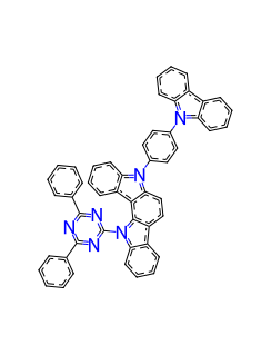 c1ccc(-c2nc(-c3ccccc3)nc(-n3c4ccccc4c4ccc5c(c6ccccc6n5-c5ccc(-n6c7ccccc7c7ccccc76)cc5)c43)n2)cc1